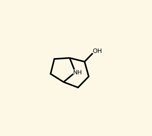 OC1CCC2CCC1N2